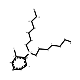 CCCCCCCP(CCCCCCC)c1ccccc1C